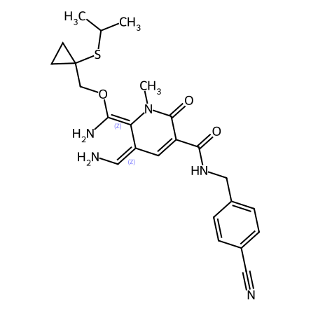 CC(C)SC1(CO/C(N)=c2/c(=C\N)cc(C(=O)NCc3ccc(C#N)cc3)c(=O)n2C)CC1